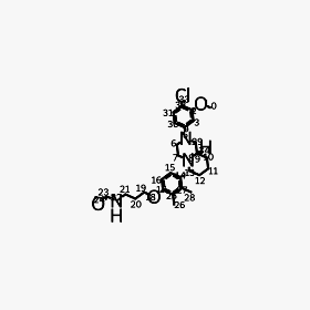 COc1cc(N2CCN3[C@@H](CCC[C@@H]3c3ccc(OCCCNC=O)c(C)c3C)C2)ccc1Cl